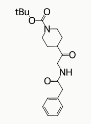 CC(C)(C)OC(=O)N1CCC(C(=O)CNC(=O)Cc2ccccc2)CC1